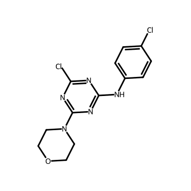 Clc1ccc(Nc2nc(Cl)nc(N3CCOCC3)n2)cc1